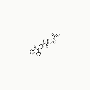 O=C(NCC1CC(C(=O)O)=CO1)Nc1ccc(N[S+]([O-])c2ccccc2-c2ccccc2)cc1